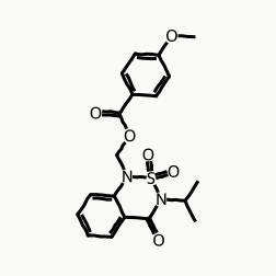 COc1ccc(C(=O)OCN2c3ccccc3C(=O)N(C(C)C)S2(=O)=O)cc1